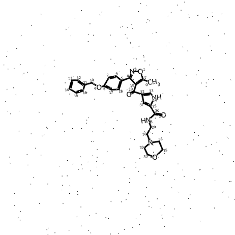 Cc1onc(-c2ccc(OCc3ccccc3)cc2)c1C(=O)c1c[nH]c(C(=O)NCCN2CCOCC2)c1